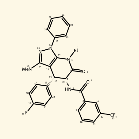 CCN1C(=O)[C@H](NC(=O)c2cccc(C(F)(F)F)c2)[C@H](c2ccc(F)cc2)c2c(NC)nn(-c3ccccc3)c21